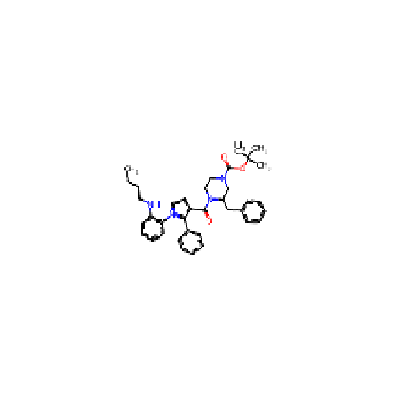 CCCCNc1ccccc1-n1ccc(C(=O)N2CCN(C(=O)OC(C)(C)C)CC2Cc2ccccc2)c1-c1ccccc1